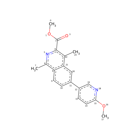 COC(=O)c1nc(C)c2ccc(-c3ccc(OC)nc3)cc2c1C